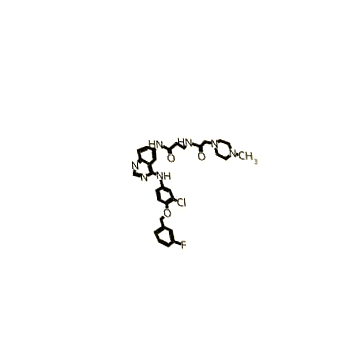 CN1CCN(CC(=O)NCCC(=O)Nc2ccc3ncnc(Nc4ccc(OCc5cccc(F)c5)c(Cl)c4)c3c2)CC1